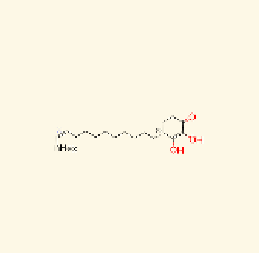 CCCCCC/C=C\CCCCCCCCC[C@@H]1CCC(=O)C(O)=C1O